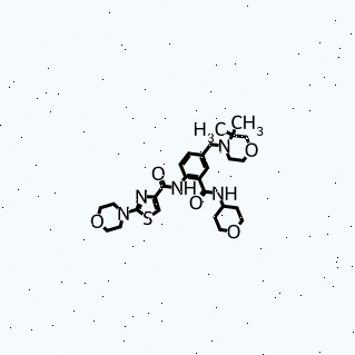 CC1(C)COCCN1Cc1ccc(NC(=O)c2csc(N3CCOCC3)n2)c(C(=O)NC2CCOCC2)c1